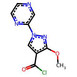 COc1nn(-c2cnccn2)cc1C(=O)Cl